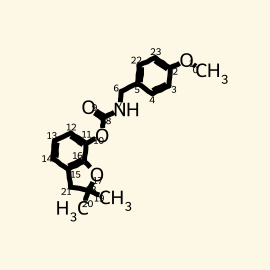 COc1ccc(CNC(=O)Oc2cccc3c2OC(C)(C)C3)cc1